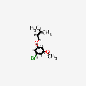 COc1cc(Br)cc(OCC=C(C)C)c1